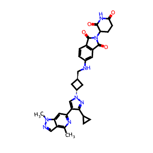 Cc1nc(-c2cn([C@H]3C[C@H](CNc4ccc5c(c4)C(=O)N(C4CCC(=O)NC4=O)C5=O)C3)nc2C2CC2)cc2c1cnn2C